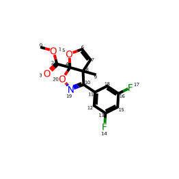 COC(=O)C12OC=CC1(C)C(c1cc(F)cc(F)c1)=NO2